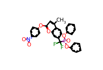 CC(=CC(=O)Oc1ccc([N+](=O)[O-])cc1)c1ccc(C(F)(F)P(=O)(Oc2ccccc2)Oc2ccccc2)cc1